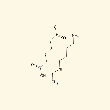 CCNCCCCN.O=C(O)CCCCC(=O)O